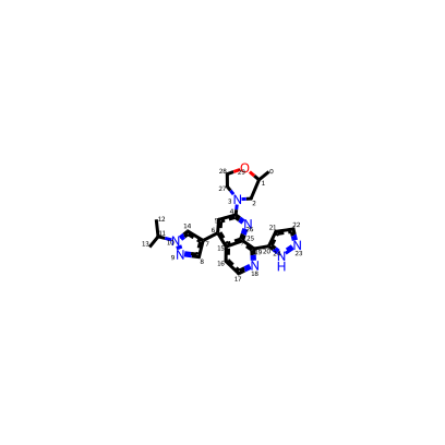 CC1CN(c2cc(-c3cnn(C(C)C)c3)c3ccnc(-c4ccn[nH]4)c3n2)CCO1